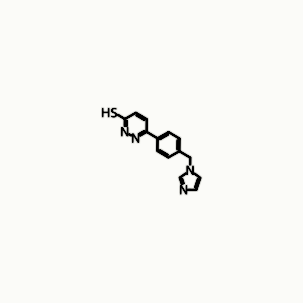 Sc1ccc(-c2ccc(Cn3ccnc3)cc2)nn1